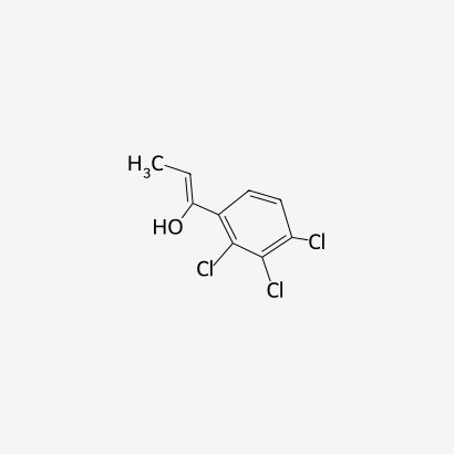 CC=C(O)c1ccc(Cl)c(Cl)c1Cl